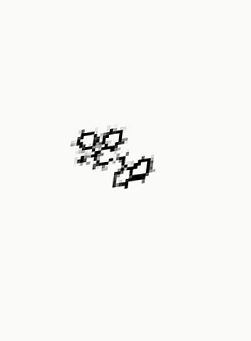 O=C(c1cnnc2ccccc12)N1CCC(O)(c2ccccc2)C2CCCCC21